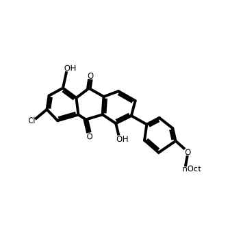 CCCCCCCCOc1ccc(-c2ccc3c(c2O)C(=O)c2cc(Cl)cc(O)c2C3=O)cc1